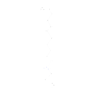 CCCCCCCCCCCCCCCCCCNCCC#N